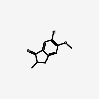 COc1cc2c(cc1Cl)C(=O)C(C)C2